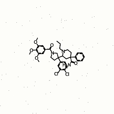 CCCN1CCC(C(N)=O)(c2ccccc2)CC1C1(c2ccc(Cl)c(Cl)c2)CCN(C(=O)c2cc(OC)c(OC)c(OC)c2)C1